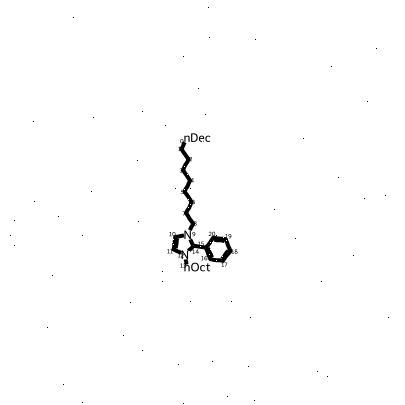 CCCCCCCCCCCCCCCCCCN1C=CN(CCCCCCCC)C1c1ccccc1